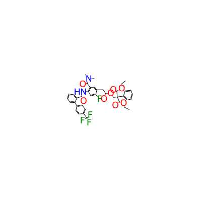 CCOC(=O)C(COC(=O)Cc1cc(C(=O)N(C)C)c(NC(=O)c2ccccc2-c2ccc(C(F)(F)F)cc2)cc1F)(C(=O)OCC)c1ccccc1